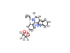 CC(C)CN1[C@H](c2ccc(B3OC(C)(C)C(C)(C)O3)cc2)c2[nH]c3ccccc3c2C[C@H]1C